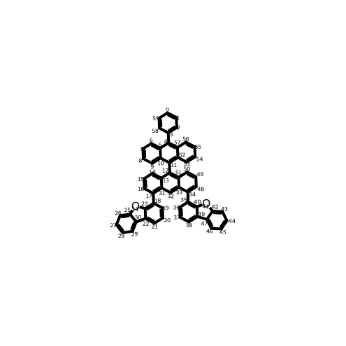 c1ccc(-c2c3ccccc3c(-c3c4cccc(-c5cccc6c5oc5ccccc56)c4cc4c(-c5cccc6c5oc5ccccc56)cccc34)c3ccccc23)cc1